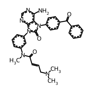 CN(C)CC=CC(=O)N(C)c1cccc(-n2c(=O)n(-c3ccc(C(=O)c4ccccc4)cc3)c3c(N)ncnc32)c1